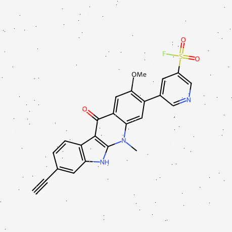 C#Cc1ccc2c(c1)[nH]c1c2c(=O)c2cc(OC)c(-c3cncc(S(=O)(=O)F)c3)cc2n1C